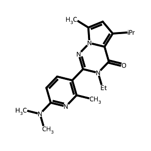 CCn1c(-c2ccc(N(C)C)nc2C)nn2c(C)cc(C(C)C)c2c1=O